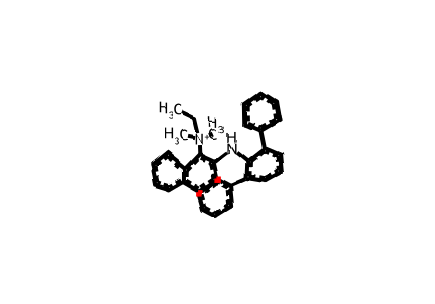 CC[N+](C)(C)c1c(Nc2c(-c3ccccc3)cccc2-c2ccccc2)ccc2ccccc12